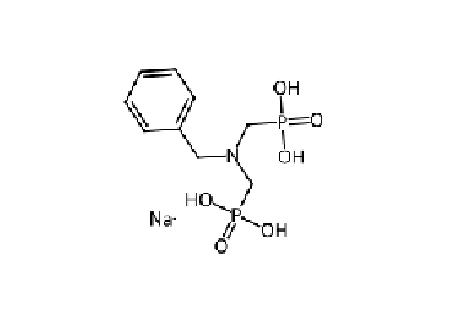 O=P(O)(O)CN(Cc1ccccc1)CP(=O)(O)O.[Na]